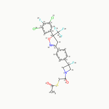 CC(=O)SCC(=O)N1CC(F)(c2ccc(C3=NOC(c4cc(Cl)c(F)c(Cl)c4)(C(F)(F)F)C3)cc2)C1